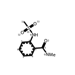 CNC(=O)c1ccccc1NS(C)(=O)=O